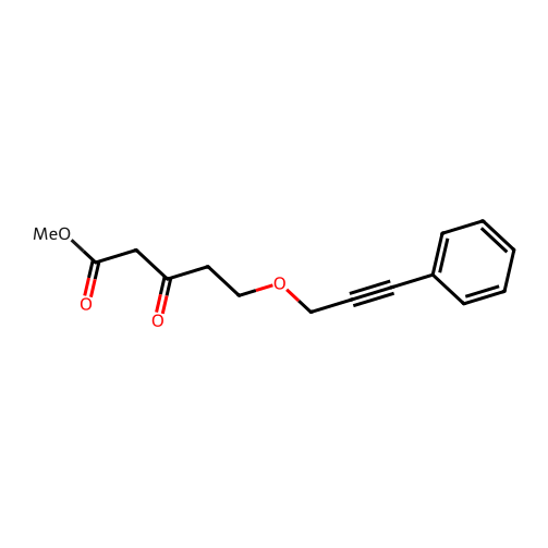 COC(=O)CC(=O)CCOCC#Cc1ccccc1